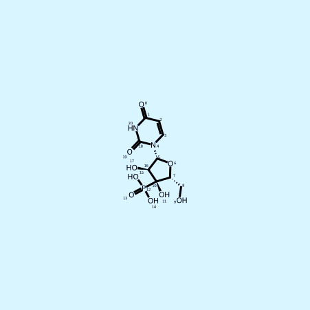 O=c1ccn([C@@H]2O[C@H](CO)[C@](O)(P(=O)(O)O)[C@H]2O)c(=O)[nH]1